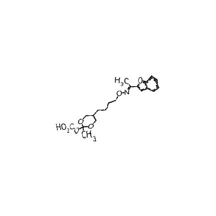 CC(=NOCCCCC1COC(C)(OC(=O)O)OC1)c1cc2ccccc2o1